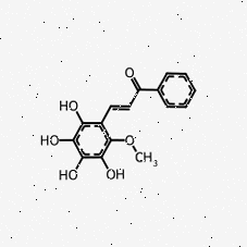 COc1c(O)c(O)c(O)c(O)c1C=CC(=O)c1ccccc1